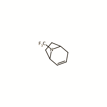 FC(F)(F)N1C2C=CCC1CC2